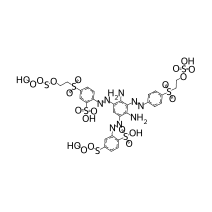 Nc1c(/N=N/c2cc(SOOO)ccc2S(=O)(=O)O)cc(/N=N/c2ccc(S(=O)(=O)CCOSOOO)cc2S(=O)(=O)O)c(N)c1/N=N/c1ccc(S(=O)(=O)CCOS(=O)(=O)O)cc1